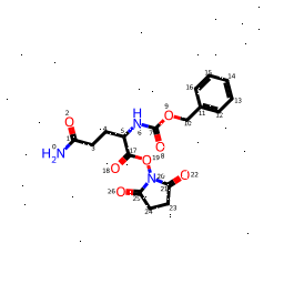 NC(=O)CCC(NC(=O)OCc1ccccc1)C(=O)ON1C(=O)CCC1=O